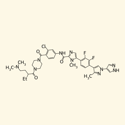 CCC(CCN(C)C)C(=O)N1CCN(C(=O)c2ccc(NC(=O)c3ncc(-c4ccc(-c5cn(-c6cn[nH]c6)nc5C)c(F)c4F)n3C)cc2Cl)CC1